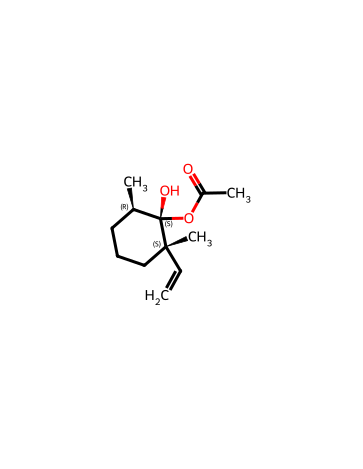 C=C[C@]1(C)CCC[C@@H](C)[C@]1(O)OC(C)=O